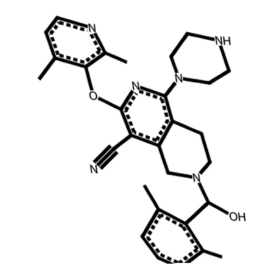 Cc1ccnc(C)c1Oc1nc(N2CCNCC2)c2c(c1C#N)CN(C(O)c1c(C)cccc1C)CC2